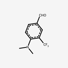 CN(C)c1ccc(C=O)cc1C(F)(F)F